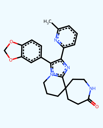 Cc1cccc(-c2nc3n(c2-c2ccc4c(c2)OCO4)CCCC32CCNC(=O)CC2)n1